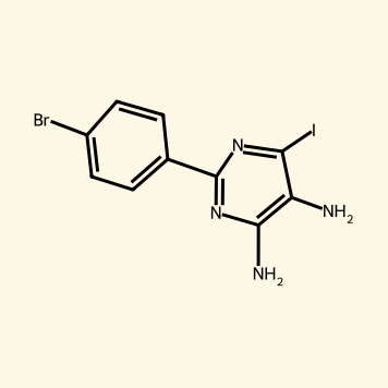 Nc1nc(-c2ccc(Br)cc2)nc(I)c1N